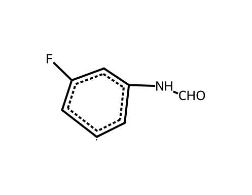 O=CNc1c[c]cc(F)c1